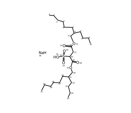 CCCCCCC(CCCC)COC(=O)CC(C(=O)OCC(CCCC)CCCCCC)S(=O)(=O)O.[NaH]